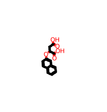 O=C(O)CC(Oc1ccc2ccccc2c1)C(=O)O